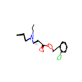 CCCN(/C=C/C(=O)OCc1ccccc1Cl)CCC